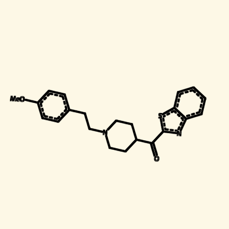 COc1ccc(CCN2CCC(C(=O)c3nc4ccccc4s3)CC2)cc1